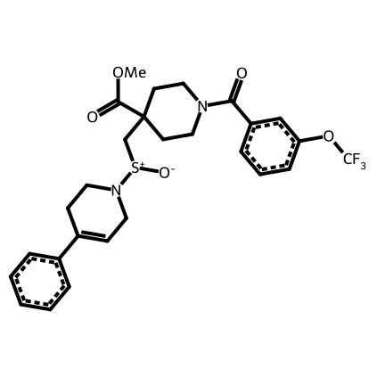 COC(=O)C1(C[S+]([O-])N2CC=C(c3ccccc3)CC2)CCN(C(=O)c2cccc(OC(F)(F)F)c2)CC1